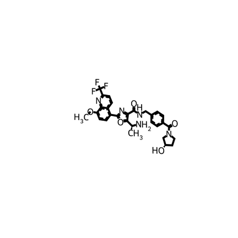 COc1ccc(-c2nc(C(=O)NCc3ccc(C(=O)N4CC[C@@H](O)C4)cc3)c([C@H](C)N)o2)c2ccc(C(F)(F)F)nc12